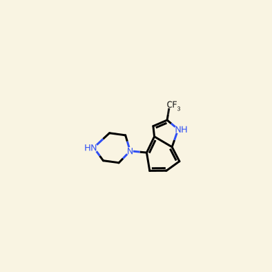 FC(F)(F)c1cc2c(N3CCNCC3)cccc2[nH]1